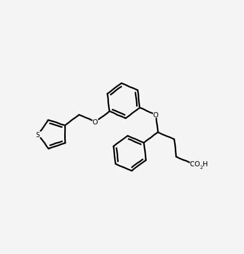 O=C(O)CCC(Oc1cccc(OCc2ccsc2)c1)c1ccccc1